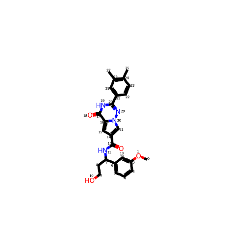 COc1cccc(C(CCO)NC(=O)c2cc3c(=O)[nH]c(-c4ccc(C)c(C)c4)nn3c2)c1